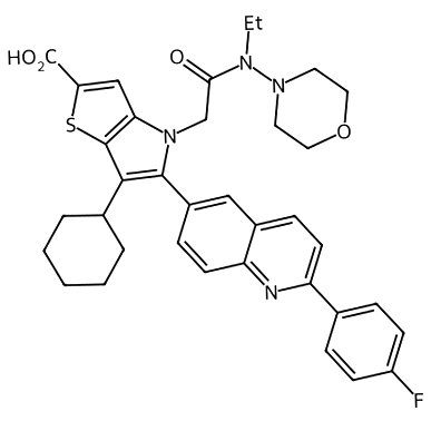 CCN(C(=O)Cn1c(-c2ccc3nc(-c4ccc(F)cc4)ccc3c2)c(C2CCCCC2)c2sc(C(=O)O)cc21)N1CCOCC1